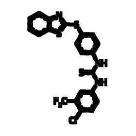 FC(F)(F)c1cc(NC(=S)Nc2ccc(Sc3nc4ccccc4s3)cc2)ccc1Cl